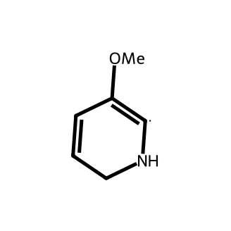 COC1=[C]NCC=C1